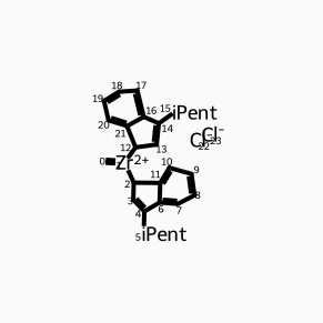 [CH2]=[Zr+2]([CH]1C=C(C(C)CCC)c2ccccc21)[CH]1C=C(C(C)CCC)c2ccccc21.[Cl-].[Cl-]